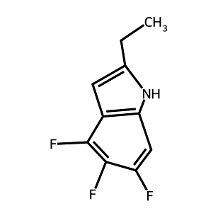 CCc1cc2c(F)c(F)c(F)cc2[nH]1